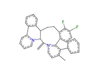 C=C1C2C(CCc3c(ccc(F)c3F)-c3c(-c4ccccc4)c(C)cc[n+]31)c1ccccc1-c1cccc[n+]12